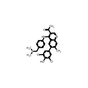 CC(=O)c1cnc2cc(C)c(-c3cc(Cl)c(O)c(Cl)c3)cc2c1Nc1ccc(CN(C)C)cc1